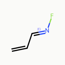 C=C/C=N/F